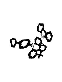 CC1(C)c2ccccc2-c2c(N(c3ccc(-c4ccccc4)cc3)c3ccc(N4c5ccccc5C5C=CC=CC54)cc3)cccc21